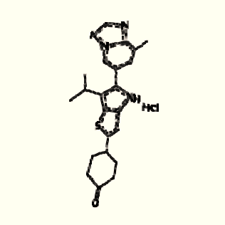 Cc1cc(-c2[nH]c3cc(C4CCC(=O)CC4)sc3c2C(C)C)cn2ncnc12.Cl